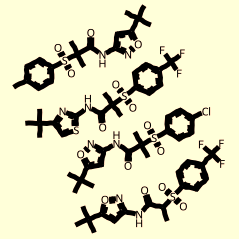 CC(C(=O)Nc1cc(C(C)(C)C)on1)S(=O)(=O)c1ccc(C(F)(F)F)cc1.CC(C)(C)c1cc(NC(=O)C(C)(C)S(=O)(=O)c2ccc(Cl)cc2)no1.CC(C)(C)c1csc(NC(=O)C(C)(C)S(=O)(=O)c2ccc(C(F)(F)F)cc2)n1.Cc1ccc(S(=O)(=O)C(C)(C)C(=O)Nc2cc(C(C)(C)C)on2)cc1